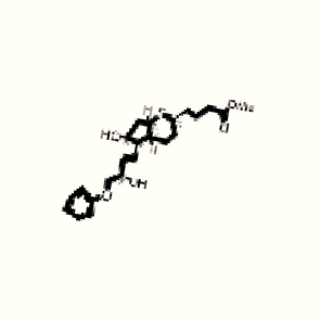 COC(=O)CCC[C@H]1CC[C@@H]2[C@@H](C=C[C@@H](O)COc3ccccc3)[C@H](O)C[C@@H]2S1